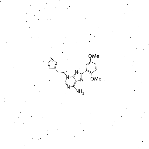 COc1ccc(OC)c(-c2nc3c(N)ncn(CCc4ccsc4)c-3n2)c1